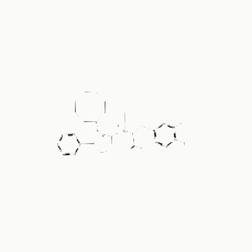 O=C(O)C(Cc1ccc(Cl)c(Cl)c1)NC1SCC(c2ccccc2)N1C1CCCCCCC1